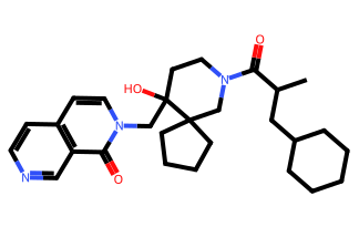 CC(CC1CCCCC1)C(=O)N1CCC(O)(Cn2ccc3ccncc3c2=O)C2(CCCC2)C1